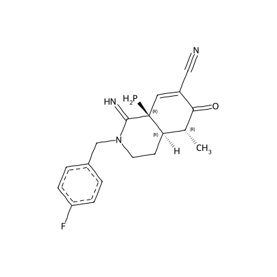 C[C@H]1C(=O)C(C#N)=C[C@@]2(P)C(=N)N(Cc3ccc(F)cc3)CC[C@H]12